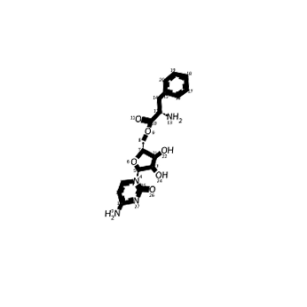 Nc1ccn([C@@H]2O[C@H](COC(=O)[C@@H](N)Cc3ccccc3)C(O)C2O)c(=O)n1